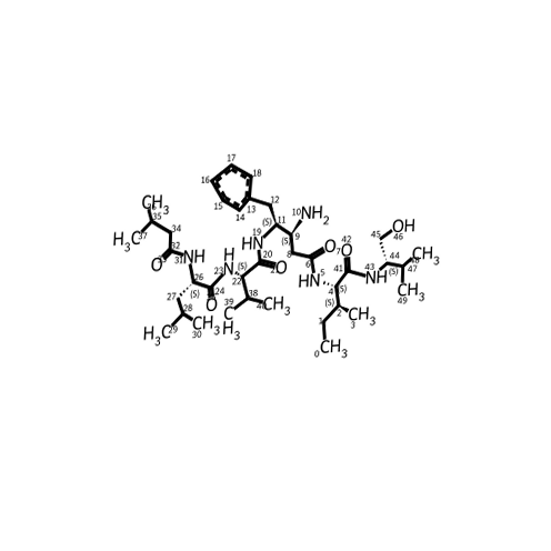 CC[C@H](C)[C@H](NC(=O)C[C@H](N)[C@H](Cc1ccccc1)NC(=O)[C@@H](NC(=O)[C@H](CC(C)C)NC(=O)CC(C)C)C(C)C)C(=O)N[C@H](CO)C(C)C